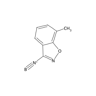 B#[N+]c1noc2c(C)cccc12